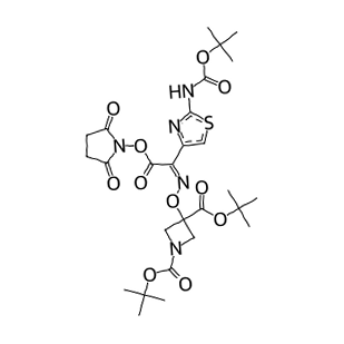 CC(C)(C)OC(=O)Nc1nc(/C(=N/OC2(C(=O)OC(C)(C)C)CN(C(=O)OC(C)(C)C)C2)C(=O)ON2C(=O)CCC2=O)cs1